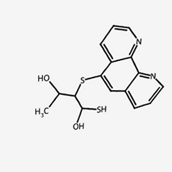 CC(O)C(Sc1cc2cccnc2c2ncccc12)C(O)S